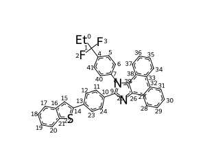 CCC(F)(F)c1ccc(-n2c(-c3ccc(-c4cc5ccccc5s4)cc3)nc3c4ccccc4c4ccccc4c32)cc1